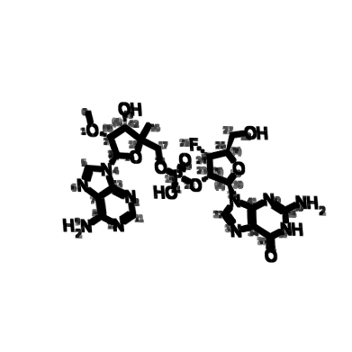 CO[C@H]1[C@H](n2cnc3c(N)ncnc32)OC(C)(COP(=O)(O)O[C@@H]2[C@H](F)[C@@H](CO)O[C@H]2n2cnc3c(=O)[nH]c(N)nc32)[C@H]1O